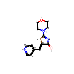 O=C1N=C(N2CCOCC2)SC1=Cc1ccncc1